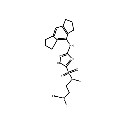 CCN(CC)CCN(C)S(=O)(=O)c1nc(Nc2c3c(cc4c2CCC4)CCC3)n[nH]1